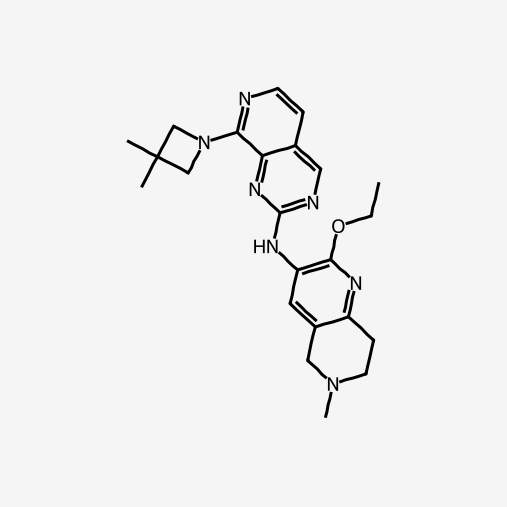 CCOc1nc2c(cc1Nc1ncc3ccnc(N4CC(C)(C)C4)c3n1)CN(C)CC2